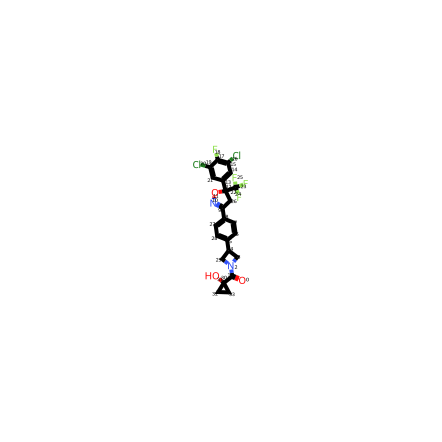 O=C(N1CC(c2ccc(C3=NOC(c4cc(Cl)c(F)c(Cl)c4)(C(F)(F)F)C3)cc2)C1)C1(O)CC1